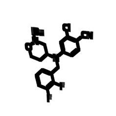 CCC(C)N1C[C@@H](N(Cc2cccc(F)c2F)c2ccc(C#N)c(Cl)c2)CCO1